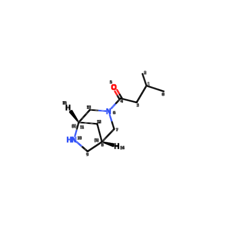 CC(C)CC(=O)N1C[C@@H]2CN[C@@H](C2)C1